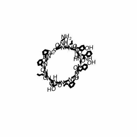 CCCC[C@H]1C(=O)N(C)CC(=O)N[C@@H](CC(=O)O)C(=O)N[C@@H](C(C)C)C(=O)N(C)[C@@H](Cc2ccccc2)C(=O)N[C@H]2Cc3ccc(O)cc3N(CC(=O)N[C@@H](Cc3c[nH]c4ccccc34)C(=O)N[C@@H](Cc3ccc(O)cc3)C(=O)N[C@@H](CC(C)C)C(=O)N[C@H](C(=O)NCC(N)=O)C(C)(C)SCC(=O)N[C@@H](Cc3ccccc3)C(=O)N(C)[C@@H](Cc3ccccc3)C(=O)N1C)C2=O